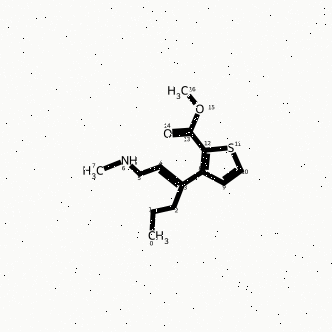 CCC/C(=C\CNC)c1ccsc1C(=O)OC